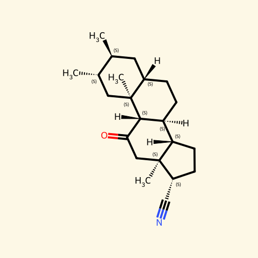 C[C@H]1C[C@@H]2CC[C@H]3[C@@H]4CC[C@H](C#N)[C@@]4(C)CC(=O)[C@@H]3[C@@]2(C)C[C@@H]1C